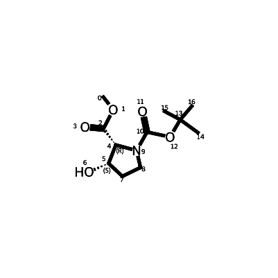 COC(=O)[C@H]1[C@@H](O)CCN1C(=O)OC(C)(C)C